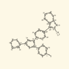 Cc1ccc(-n2cc(-c3ccccn3)nc2-c2ccc(-n3c(C(F)(F)F)nc4cccnc43)cc2)cn1